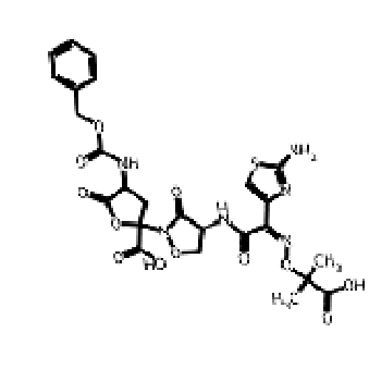 CC(C)(O/N=C(\C(=O)N[C@H]1CON(C2(C(=O)O)CC(NC(=O)OCc3ccccc3)C(=O)O2)C1=O)c1csc(N)n1)C(=O)O